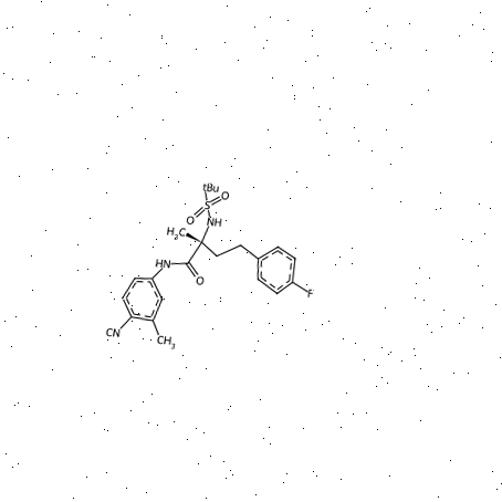 [C-]#[N+]c1ccc(NC(=O)[C@@](C)(CCc2ccc(F)cc2)NS(=O)(=O)C(C)(C)C)cc1C